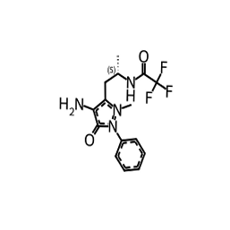 C[C@@H](Cc1c(N)c(=O)n(-c2ccccc2)n1C)NC(=O)C(F)(F)F